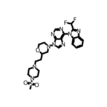 CS(=O)(=O)N1CCN(CCC2CN(n3cnc4c(-n5c(C(F)F)nc6ccccc65)ncnc43)CCO2)CC1